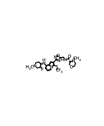 CN1CC[C@@H](Nc2cccn3c(SC(F)(F)F)c(-c4noc(CNC(=O)[C@H]5COCCN5C)n4)cc23)[C@@H](F)C1